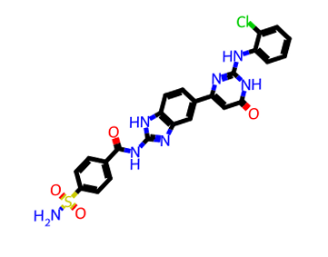 NS(=O)(=O)c1ccc(C(=O)Nc2nc3cc(-c4cc(=O)[nH]c(Nc5ccccc5Cl)n4)ccc3[nH]2)cc1